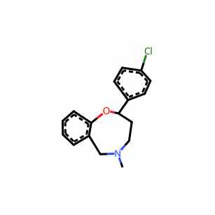 CN1CCC(c2ccc(Cl)cc2)Oc2ccccc2C1